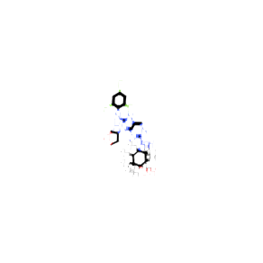 [2H]C1C([2H])([2H])C([2H])(O)C([2H])([2H])C([2H])([2H])C1([2H])Nc1ncc2nc(Nc3c(F)cc(F)cc3F)n(C3CCOC3)c2n1